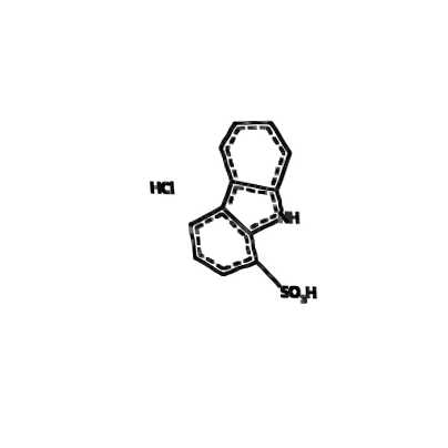 Cl.O=S(=O)(O)c1cccc2c1[nH]c1ccccc12